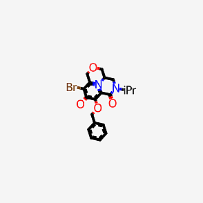 CC(C)N1CC2COCc3c(Br)c(=O)c(OCc4ccccc4)c(n32)C1=O